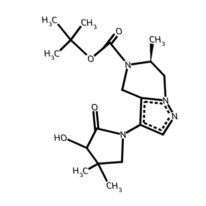 C[C@H]1Cn2ncc(N3CC(C)(C)C(O)C3=O)c2CN1C(=O)OC(C)(C)C